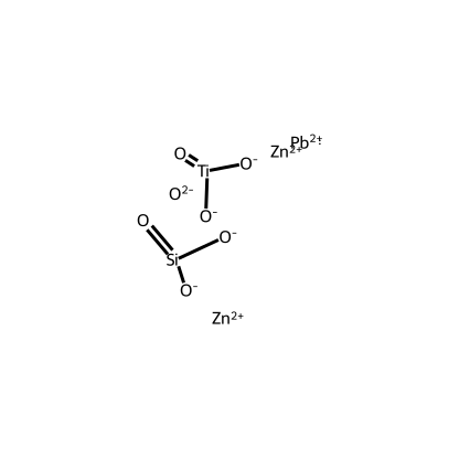 O=[Si]([O-])[O-].[O-2].[O]=[Ti]([O-])[O-].[Pb+2].[Zn+2].[Zn+2]